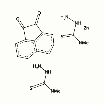 CNC(=S)NN.CNC(=S)NN.O=C1C(=O)c2cccc3cccc1c23.[Zn]